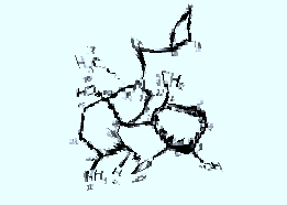 Cc1ccc(O)c2c1[C@@]13CCN(CC4CC4)[C@@H](C)[C@@]1(O)CCC(N)[C@H]3O2